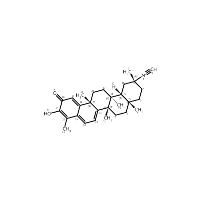 C#[N+][C@]1(C)CC[C@]2(C)CC[C@]3(C)C4=CC=C5C(=CC(=O)C(O)=C5C)[C@]4(C)CC[C@@]3(C)[C@@H]2C1